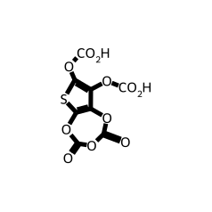 O=C(O)Oc1sc2c(c1OC(=O)O)OC(=O)OC(=O)O2